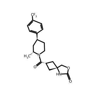 C[C@@H]1C[C@@H](c2ccc(C(F)(F)F)cc2)CCN1C(=O)[C@H]1C[C@]2(COC(=O)N2)C1